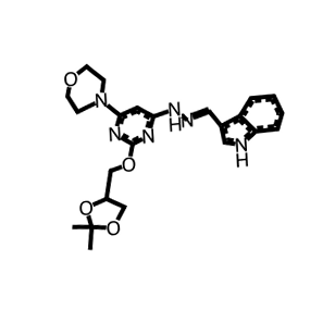 CC1(C)OCC(COc2nc(NN=Cc3c[nH]c4ccccc34)cc(N3CCOCC3)n2)O1